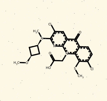 CO[C@H]1C[C@@H](N(C)c2nc3c(cc2Cl)c(=O)c2ccc(Cl)c(SC)c2n3CC(=O)O)C1